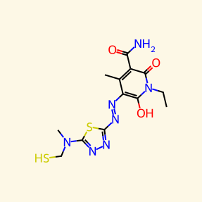 CCn1c(O)c(/N=N/c2nnc(N(C)CS)s2)c(C)c(C(N)=O)c1=O